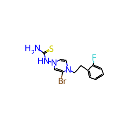 NC(=S)NN1C=CN(CCc2ccccc2F)C(Br)=C1